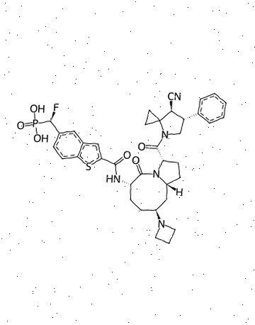 N#C[C@H]1[C@H](c2ccccc2)CN(C(=O)[C@@H]2CC[C@@H]3C[C@@H](N4CCC4)CC[C@H](NC(=O)c4cc5cc([C@H](F)P(=O)(O)O)ccc5s4)C(=O)N32)C12CC2